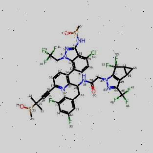 C[S+]([O-])Nc1nn(CC(F)(F)F)c2c(-c3ccc(C#CC(C)(C)[S+](C)[O-])nc3C(Cc3cc(F)cc(F)c3)NC(=O)Cn3nc(C(F)(F)F)c4c3C(F)(F)C3CC43)ccc(Cl)c12